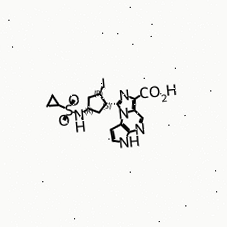 O=C(O)c1nc([C@@H]2C[C@@H](NS(=O)(=O)C3CC3)C[C@H]2I)n2c1cnc1[nH]ccc12